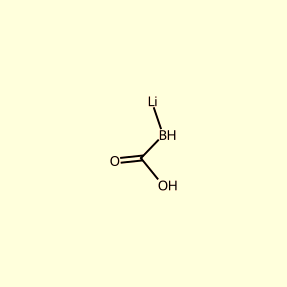 [Li][BH]C(=O)O